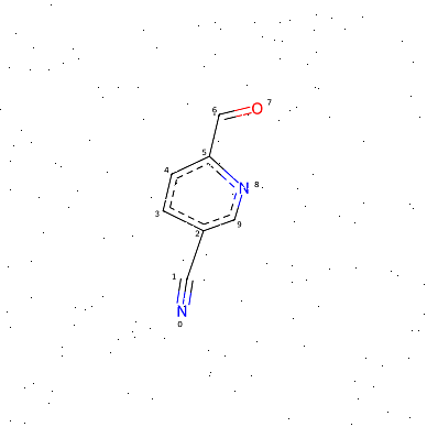 N#Cc1ccc([C]=O)nc1